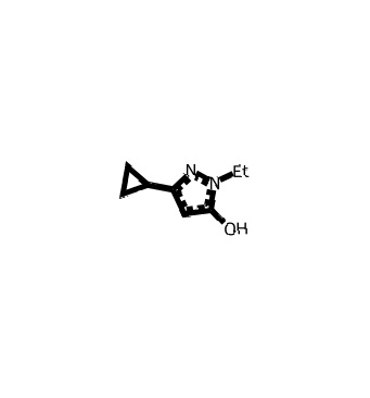 CCn1nc(C2CC2)cc1O